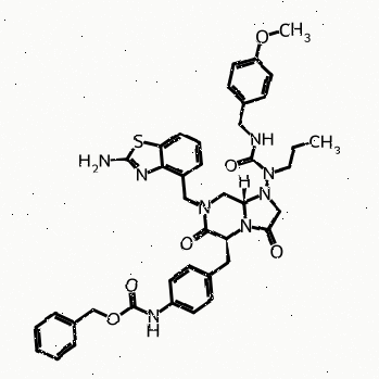 CCCN(C(=O)NCc1ccc(OC)cc1)N1CC(=O)N2[C@@H](Cc3ccc(NC(=O)OCc4ccccc4)cc3)C(=O)N(Cc3cccc4sc(N)nc34)C[C@@H]21